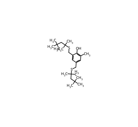 Cc1cc(CSC(C)(C)CC(C)(C)C)cc(CSC(C)(C)CC(C)(C)C)c1O